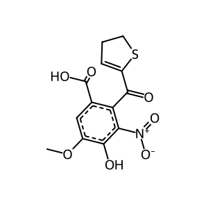 COc1cc(C(=O)O)c(C(=O)C2=CCCS2)c([N+](=O)[O-])c1O